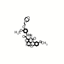 COc1ccc(Cl)c(N2C(=O)Nc3c(C(=O)Nc4ccc(OCCN5CCOCC5)c(OC)c4)sc4ncnc2c34)c1